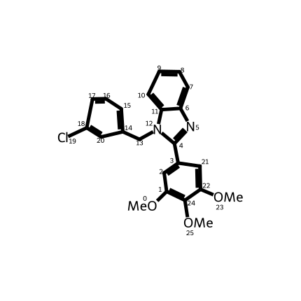 COc1cc(-c2nc3ccccc3n2Cc2cccc(Cl)c2)cc(OC)c1OC